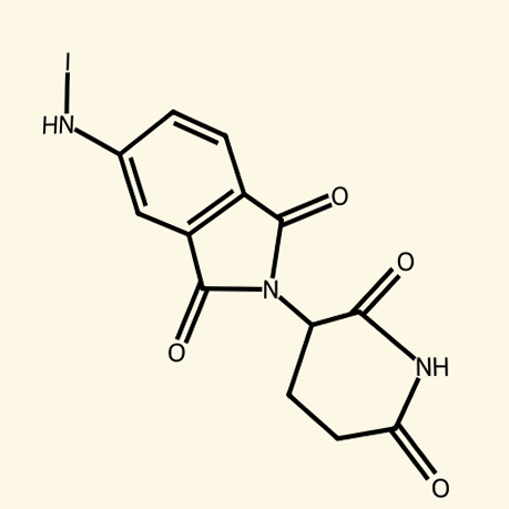 O=C1CCC(N2C(=O)c3ccc(NI)cc3C2=O)C(=O)N1